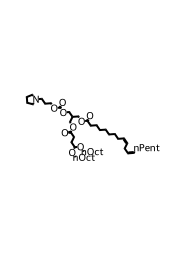 CCCCC/C=C\C/C=C\CCCCCCCC(=O)OCC(COC(=O)CCC(OCCCCCCCC)OCCCCCCCC)COC(=O)OCCCN1CCCC1